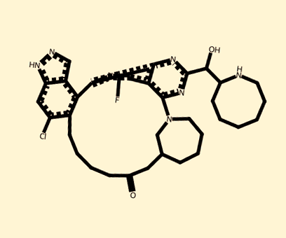 O=C1CCCCc2c(Cl)cc3[nH]ncc3c2-c2ncc3c(nc(C(O)C4CCCCCCN4)nc3c2F)N2CCCCC(C1)C2